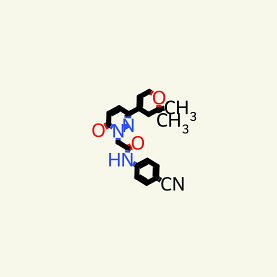 CC1(C)CC(c2ccc(=O)n(CC(=O)Nc3ccc(C#N)cc3)n2)=CCO1